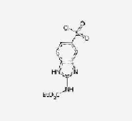 CCOC(=O)Nc1nc2cc(S(=O)(=O)Cl)ccc2[nH]1